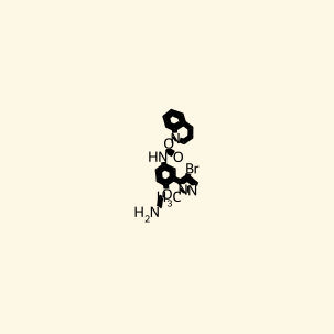 Cn1ncc(Br)c1-c1cc(NC(=O)ON2CCCc3ccccc32)ccc1OCCN